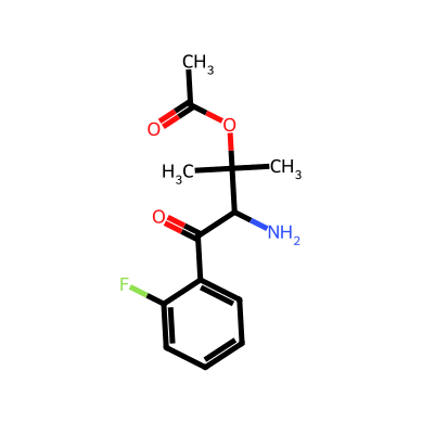 CC(=O)OC(C)(C)C(N)C(=O)c1ccccc1F